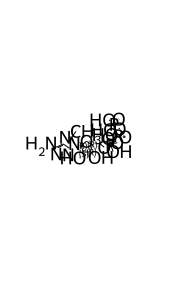 Cc1nc2c(N)ncnc2n1[C@@H]1O[C@H](COP(=O)(O)OP(=O)(O)OP(=O)(O)O)[C@H](O)[C@@H]1O